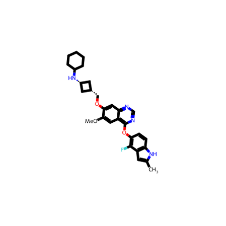 COc1cc2c(Oc3ccc4[nH]c(C)cc4c3F)ncnc2cc1OC[C@H]1C[C@@H](NC2CCCCC2)C1